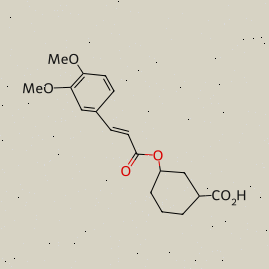 COc1ccc(/C=C/C(=O)OC2CCCC(C(=O)O)C2)cc1OC